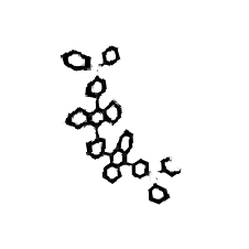 c1ccc(N(c2ccccc2)c2ccc(-c3c4ccccc4c(-c4cccc(-c5c6ccccc6c(-c6ccc(N(c7ccccc7)c7ccccc7)cc6)c6ccccc56)c4)c4ccccc34)cc2)cc1